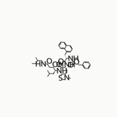 CCC(C)CNC(=O)C[C@H](O)[C@H](CC(C)C)NC(=O)[C@H](CC1CSCN1C)NC(=O)[C@H](Cc1cccc2ccccc12)NC(=O)OCc1ccccc1